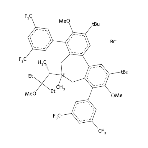 CCC(CC)(OC)[C@H](C)[N+]1(C)Cc2c(cc(C(C)(C)C)c(OC)c2-c2cc(C(F)(F)F)cc(C(F)(F)F)c2)-c2cc(C(C)(C)C)c(OC)c(-c3cc(C(F)(F)F)cc(C(F)(F)F)c3)c2C1.[Br-]